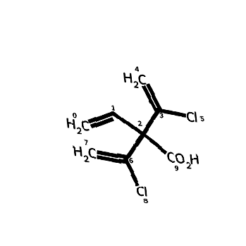 C=CC(C(=C)Cl)(C(=C)Cl)C(=O)O